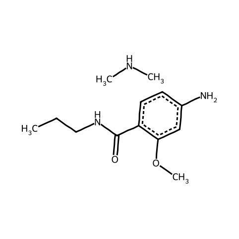 CCCNC(=O)c1ccc(N)cc1OC.CNC